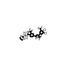 O=C(NNc1ncccn1)c1ccc(/C(F)=C/C(c2cc(Cl)c(Cl)c(C(F)F)c2)C(F)(F)F)cc1C(F)(F)F